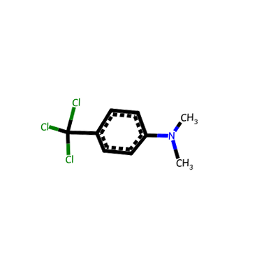 CN(C)c1ccc(C(Cl)(Cl)Cl)cc1